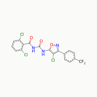 O=C(NC(=O)c1c(Cl)cccc1Cl)Nc1onc(-c2ccc(C(F)(F)F)cc2)c1Cl